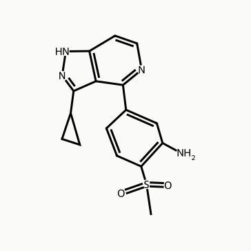 CS(=O)(=O)c1ccc(-c2nccc3[nH]nc(C4CC4)c23)cc1N